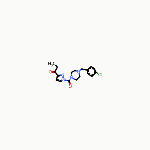 CCC(=O)c1ccn(C(=O)N2CCN(Cc3ccc(Cl)cc3)CC2)n1